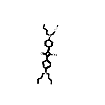 CCCCN(CCCC)c1ccc(C2=C(O)C(=C3C=CC(N(CCCC)CCCC)C=C3)C2=O)cc1